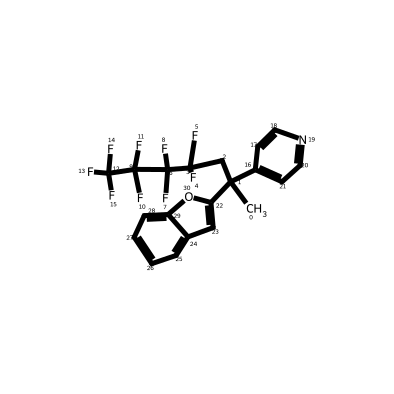 CC(CC(F)(F)C(F)(F)C(F)(F)C(F)(F)F)(c1ccncc1)c1cc2ccccc2o1